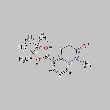 CN1C(=O)CCc2c(B3OC(C)(C)C(C)(C)O3)cccc21